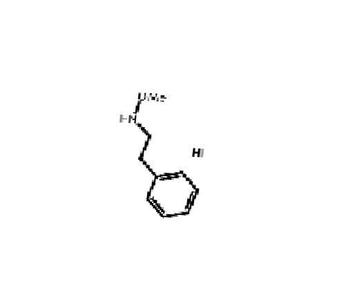 CONCCc1ccccc1.I